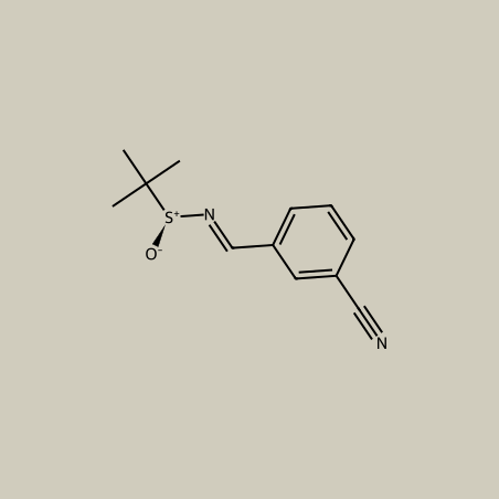 CC(C)(C)[S@+]([O-])/N=C/c1cccc(C#N)c1